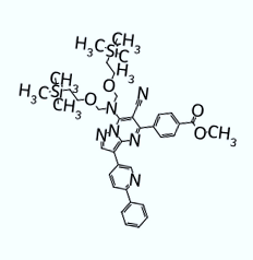 COC(=O)c1ccc(-c2nc3c(-c4ccc(-c5ccccc5)nc4)cnn3c(N(COCC[Si](C)(C)C)COCC[Si](C)(C)C)c2C#N)cc1